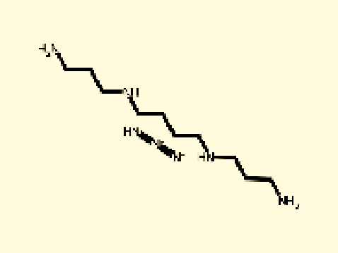 NCCCNCCCCNCCCN.[N-]=[N+]=N